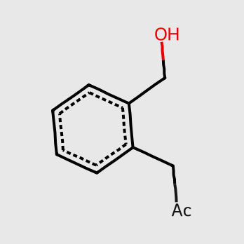 CC(=O)Cc1ccccc1CO